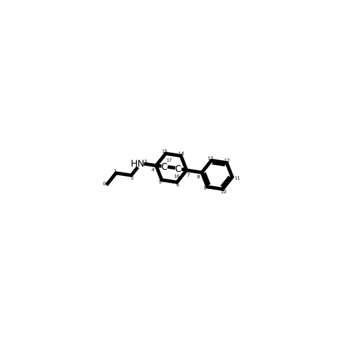 CCCNC12CCC(c3ccccc3)(CC1)CC2